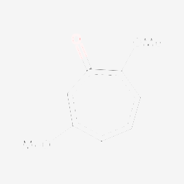 COc1cccc(OC)c(=O)c1